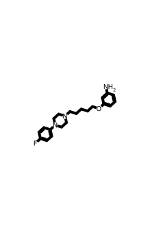 Nc1cccc(OCCCCCN2CCN(c3ccc(F)cc3)CC2)c1